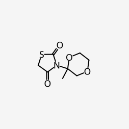 CC1(N2C(=O)CSC2=O)COCCO1